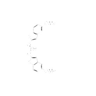 COc1ccc2sc(OBOc3cc4cc(OC)ccc4s3)cc2c1